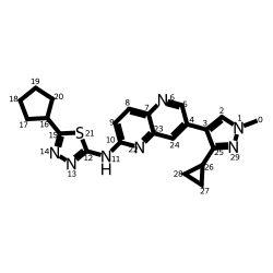 Cn1cc(-c2cnc3ccc(Nc4nnc(C5CCCC5)s4)nc3c2)c(C2CC2)n1